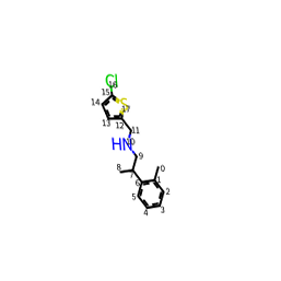 Cc1ccccc1C(C)CNCc1ccc(Cl)s1